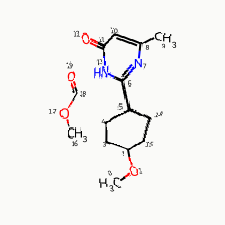 COC1CCC(c2nc(C)cc(=O)[nH]2)CC1.COC=O